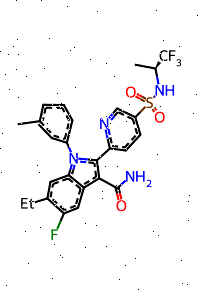 CCc1cc2c(cc1F)c(C(N)=O)c(-c1ccc(S(=O)(=O)N[C@@H](C)C(F)(F)F)cn1)n2-c1cccc(C)c1